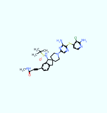 CNC(=O)C#Cc1ccc2c(c1)[C@@H](N[S@+]([O-])C(C)(C)C)C1(CCN(c3cnc(Sc4ccnc(N)c4Cl)c(N)n3)CC1)C2